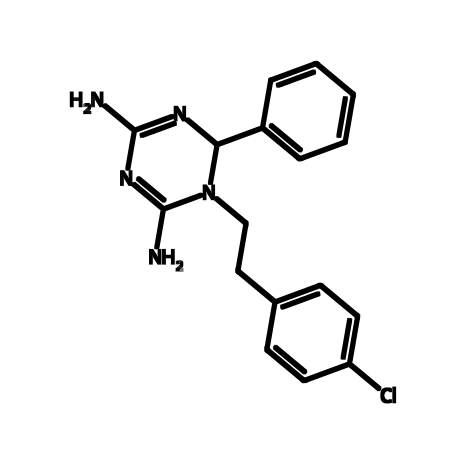 NC1=NC(c2ccccc2)N(CCc2ccc(Cl)cc2)C(N)=N1